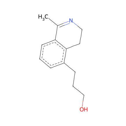 CC1=NCCc2c(CCCO)cccc21